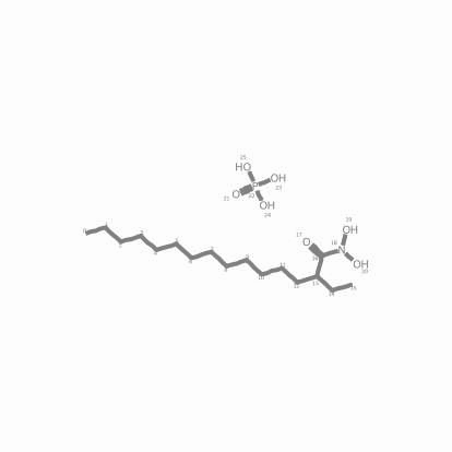 CCCCCCCCCCCCCC(CC)C(=O)N(O)O.O=P(O)(O)O